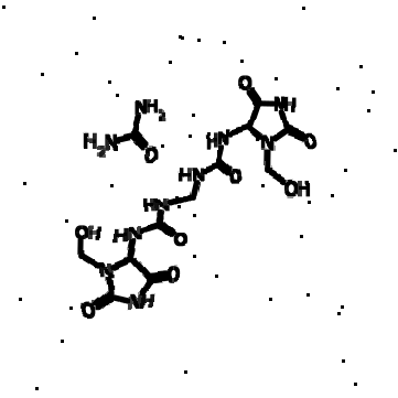 NC(N)=O.O=C(NCNC(=O)NC1C(=O)NC(=O)N1CO)NC1C(=O)NC(=O)N1CO